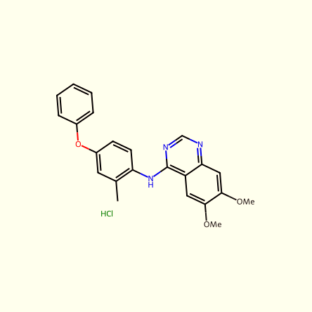 COc1cc2ncnc(Nc3ccc(Oc4ccccc4)cc3C)c2cc1OC.Cl